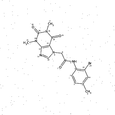 Cc1ccc(NC(=O)Cn2cnc3c2c(=O)n(C)c(=O)n3C)c(Br)c1